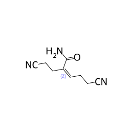 N#CCC/C=C(/CCC#N)C(N)=O